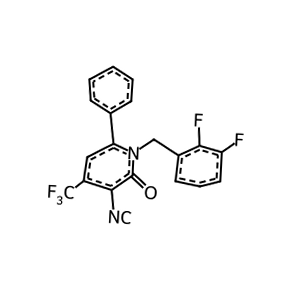 [C-]#[N+]c1c(C(F)(F)F)cc(-c2ccccc2)n(Cc2cccc(F)c2F)c1=O